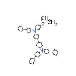 C=C/C=C(\C=C)c1ccc(N(c2ccc(-c3ccccc3)cc2)c2ccc(-c3ccc(N(c4ccc(-c5ccccc5)cc4)c4ccc(-c5ccccc5)cc4)cc3)cc2)cc1